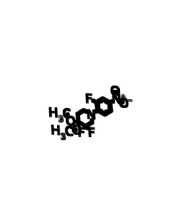 COC1(OC)CCN(c2ccc([N+](=O)[O-])cc2F)CC1(F)F